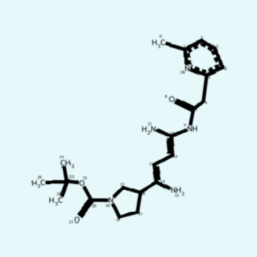 Cc1cccc(CC(=O)N/C(N)=C/C=C(\N)C2CCN(C(=O)OC(C)(C)C)C2)n1